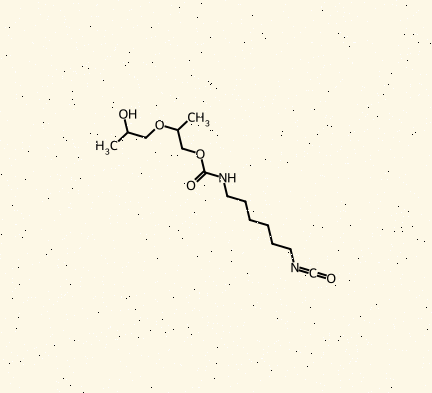 CC(O)COC(C)COC(=O)NCCCCCCN=C=O